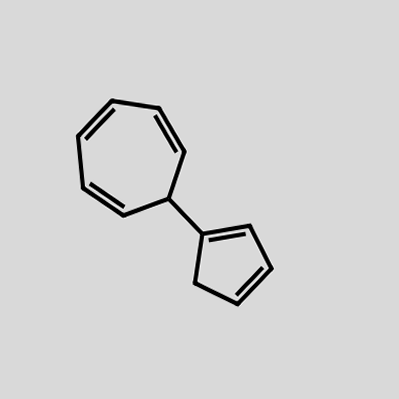 C1=CC=CC(C2=CC=CC2)C=C1